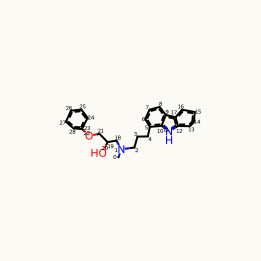 CN(CCCc1cccc2c1[nH]c1ccccc12)CC(O)COc1ccccc1